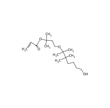 C=CC(=O)OC(C)(C)CCOC(C)(C)C(C)(C)CCCCO